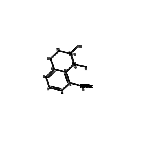 CC(=O)Nc1cccc2c1N(C)N(C)CC2